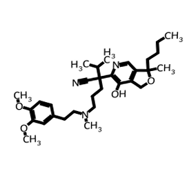 CCCCC1(C)OCc2c1cnc(C(C#N)(CCCN(C)CCc1ccc(OC)c(OC)c1)C(C)C)c2O